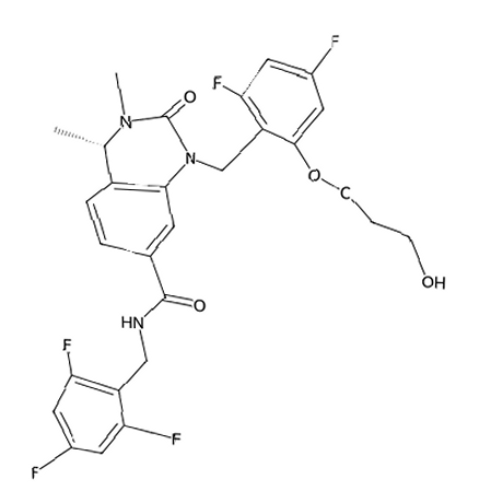 C[C@H]1c2ccc(C(=O)NCc3c(F)cc(F)cc3F)cc2N(Cc2c(F)cc(F)cc2OCCCO)C(=O)N1C